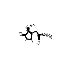 C=C1C(=O)CCC1CC(=O)OC